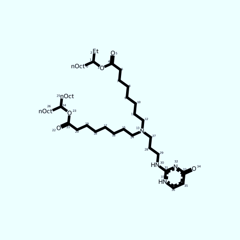 CCCCCCCCC(CC)OC(=O)CCCCCCCN(CCCCCCCC(=O)OC(CCCCCCCC)CCCCCCCC)CCCNc1nc(=O)cc[nH]1